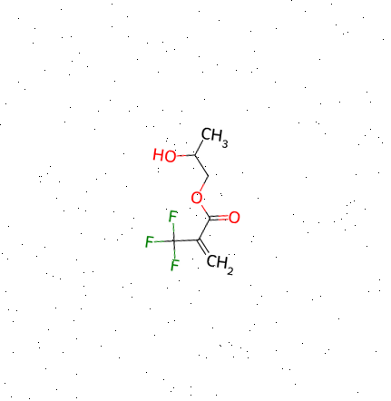 C=C(C(=O)OCC(C)O)C(F)(F)F